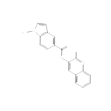 CCCn1ccc2cc(C(=O)Nc3cc4ccccc4nc3Cl)ccc21